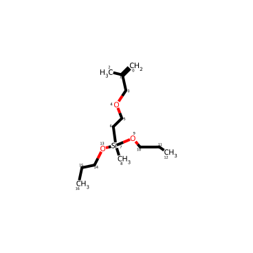 C=C(C)COCC[Si](C)(OCCC)OCCC